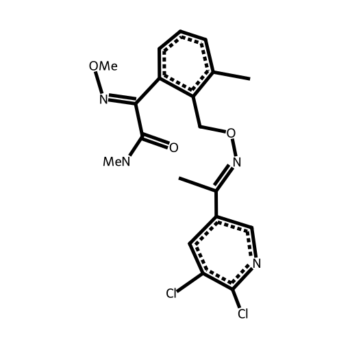 CNC(=O)/C(=N/OC)c1cccc(C)c1CO/N=C(\C)c1cnc(Cl)c(Cl)c1